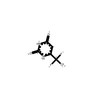 O=c1cc(C(F)(F)C(F)(F)F)[nH]c(=O)[nH]1